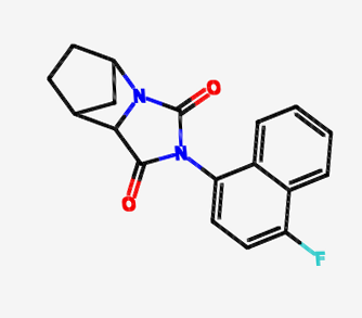 O=C1C2C3CCC(C3)N2C(=O)N1c1ccc(F)c2ccccc12